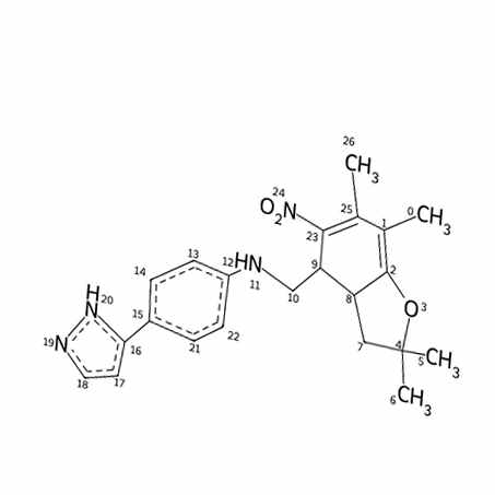 CC1=C2OC(C)(C)CC2C(CNc2ccc(-c3ccn[nH]3)cc2)C([N+](=O)[O-])=C1C